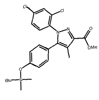 COC(=O)c1nn(-c2ccc(Cl)cc2Cl)c(-c2ccc(O[Si](C)(C)C(C)(C)C)cc2)c1C